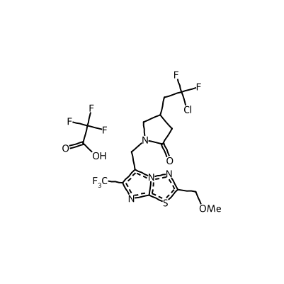 COCc1nn2c(CN3CC(CC(F)(F)Cl)CC3=O)c(C(F)(F)F)nc2s1.O=C(O)C(F)(F)F